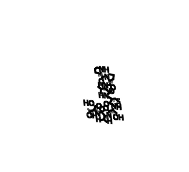 CC(C)[C@H](NC(=O)[C@H](CO)NC(=O)[C@H](CS)NC(=O)[C@@H](NC(=O)[C@@H]1CCCN1C(=O)[C@@H]1CCCN1)C(C)C)C(=O)N[C@H](C(=O)O)[C@@H](C)O